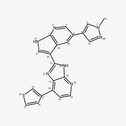 Cn1cc(-c2cnc3[nH]nc(-c4nc5c(-c6ccsc6)ccnc5[nH]4)c3c2)cn1